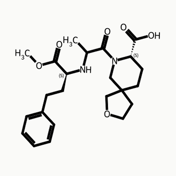 COC(=O)[C@H](CCc1ccccc1)NC(C)C(=O)N1CC2(CCOC2)CC[C@H]1C(=O)O